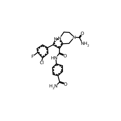 NC(=O)c1ccc(NC(=O)c2c(-c3ccc(F)c(Cl)c3)nn3c2CN(C(N)=O)CC3)cc1